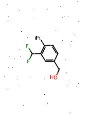 CC(C)c1ccc(CO)cc1C(F)F